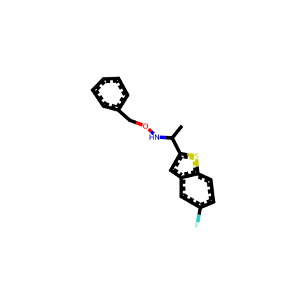 CC(NOCc1ccccc1)c1cc2cc(F)ccc2s1